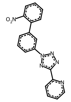 O=[N+]([O-])c1ccccc1-c1cccc(-n2nnc(-c3ccccn3)n2)c1